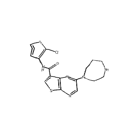 O=C(Nc1ccsc1Cl)c1csc2ncc(N3CCCNCC3)nc12